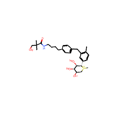 Cc1ccc([C@H]2[C@H](O)[C@H](O)[C@H](O)C[SH]2C)cc1Cc1ccc(CCCCNC(=O)C(C)(C)CO)cc1